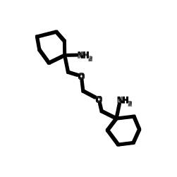 NC1(COCOCC2(N)CCCCC2)CCCCC1